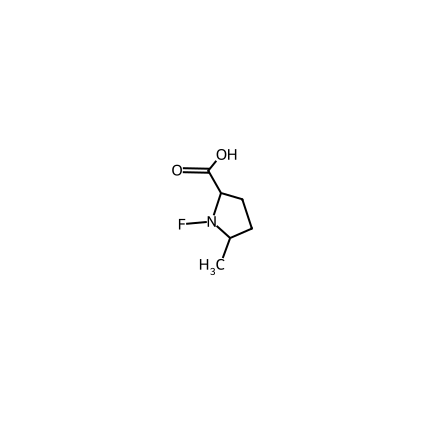 CC1CCC(C(=O)O)N1F